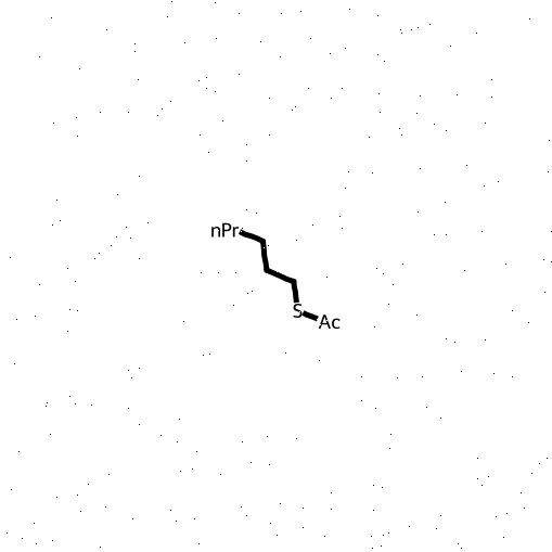 [CH2]CCCCCSC(C)=O